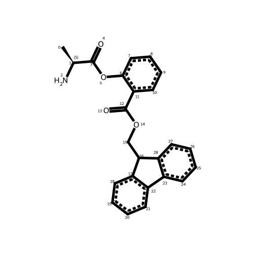 C[C@H](N)C(=O)Oc1ccccc1C(=O)OCC1c2ccccc2-c2ccccc21